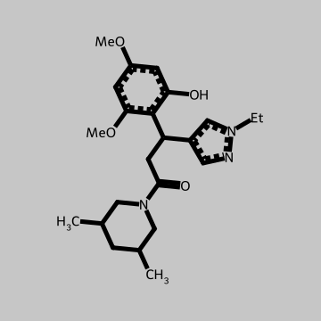 CCn1cc(C(CC(=O)N2CC(C)CC(C)C2)c2c(O)cc(OC)cc2OC)cn1